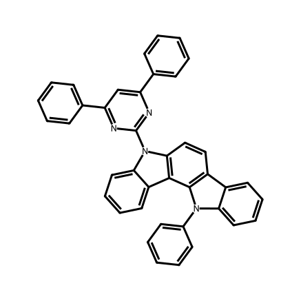 c1ccc(-c2cc(-c3ccccc3)nc(-n3c4ccccc4c4c3ccc3c5ccccc5n(-c5ccccc5)c34)n2)cc1